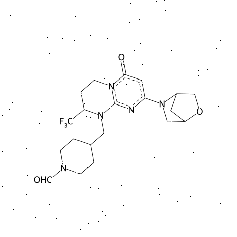 O=CN1CCC(CN2c3nc(N4CC5CC4CO5)cc(=O)n3CCC2C(F)(F)F)CC1